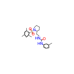 Cc1cccc(NC(=O)NCCC2CCCCN2S(=O)(=O)c2c(C)cc(C)cc2C)c1